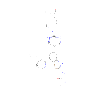 CCNC(=O)Nc1nc2cc(-c3cnc(N4CCC(C)(C(=O)O)CC4)nc3)cc(-c3cc(OC)ccn3)c2s1